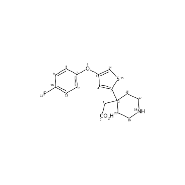 O=C(O)CC1(c2cc(Oc3ccc(F)cc3)cs2)CCNCC1